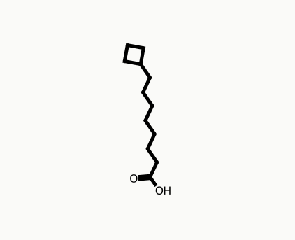 O=C(O)CCCCCCCC1CCC1